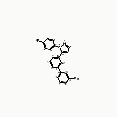 Fc1ccc(-n2nccc2-c2cccc(-c3cccc(F)c3)c2)cc1